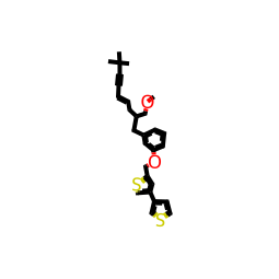 COCC(C/C=C/C#CC(C)(C)C)Cc1cccc(OCc2cc(-c3ccsc3)cs2)c1